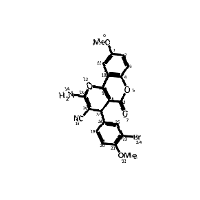 COc1ccc2oc(=O)c3c(c2c1)OC(N)=C(C#N)C3c1ccc(OC)c(Br)c1